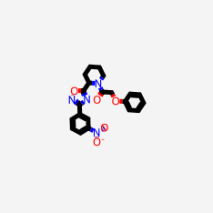 O=C(COc1ccccc1)N1CCCCC1c1nc(-c2cccc([N+](=O)[O-])c2)no1